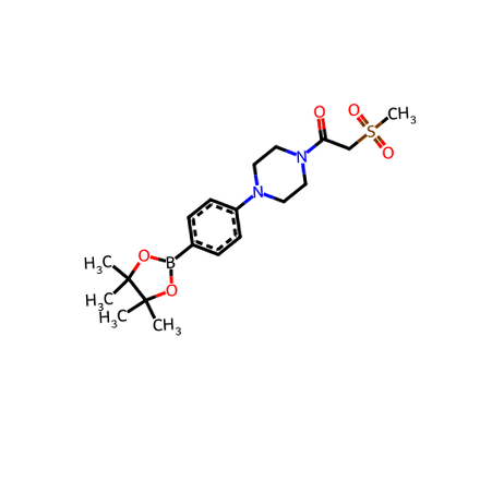 CC1(C)OB(c2ccc(N3CCN(C(=O)CS(C)(=O)=O)CC3)cc2)OC1(C)C